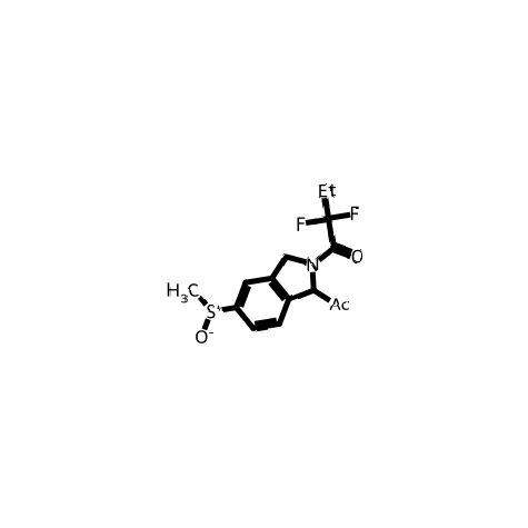 CCC(F)(F)C(=O)N1Cc2cc([S+](C)[O-])ccc2C1C(C)=O